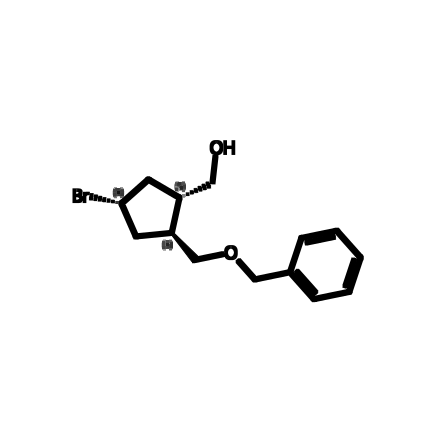 OC[C@H]1C[C@@H](Br)C[C@@H]1COCc1ccccc1